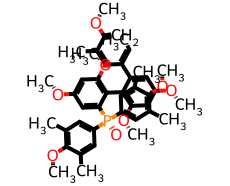 C=C(OC)/C(C)=C\C(=C/C)c1cc(OC)cc(OC)c1-c1c(OC)cc(OC)cc1P(=O)(c1cc(C)c(OC)c(C)c1)c1cc(C)c(OC)c(C)c1